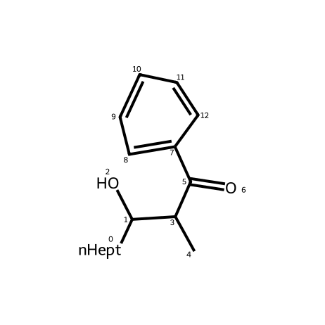 CCCCCCCC(O)C(C)C(=O)c1ccccc1